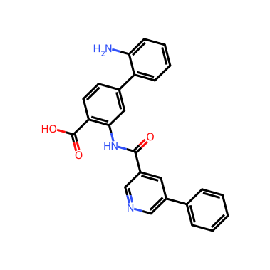 Nc1ccccc1-c1ccc(C(=O)O)c(NC(=O)c2cncc(-c3ccccc3)c2)c1